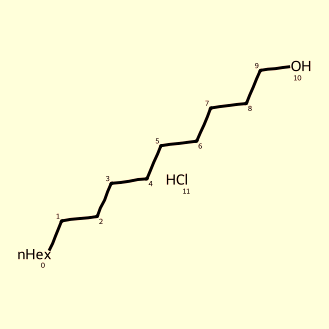 CCCCCCCCCCCCCCCO.Cl